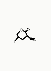 N#CC1CC(I)COC1=O